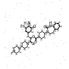 CCc1cc(C[C@@H](OC(=O)N2CCC(N3CCc4ccccc4NC3=O)CC2)C(=O)N2CCC(N3CCN(C)CC3)CC2)cc(Cl)c1N